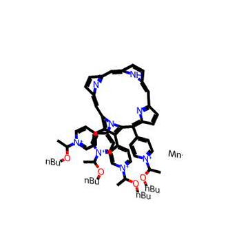 CCCCOC(C)[n+]1ccc(-c2c(-c3cc[n+](C(C)OCCCC)cc3)c3c(-c4cc[n+](C(C)OCCCC)cc4)c4nc(cc5ccc(cc6nc(cc2n3-c2cc[n+](C(C)OCCCC)cc2)C=C6)[nH]5)C=C4)cc1.[Mn]